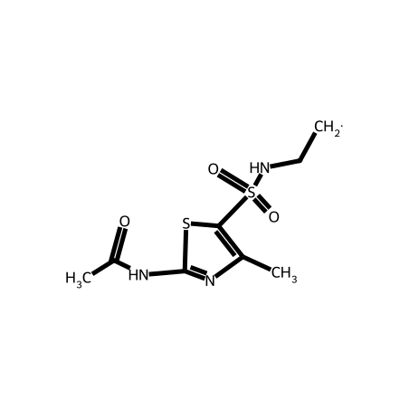 [CH2]CNS(=O)(=O)c1sc(NC(C)=O)nc1C